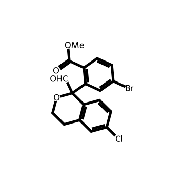 COC(=O)c1ccc(Br)cc1C1(C=O)OCCc2cc(Cl)ccc21